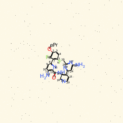 CCCOc1ccc(F)c(-c2ccc(N)c(C(=O)Nc3cnccc3-c3cc(N)nc(C)n3)n2)c1F